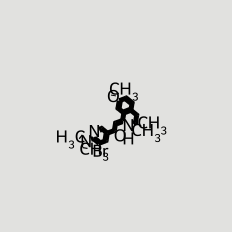 COc1ccc2c(c1)/C(=C/C(=O)c1cnc(N(C)C)c(Br)c1)NC(C)(C)C2